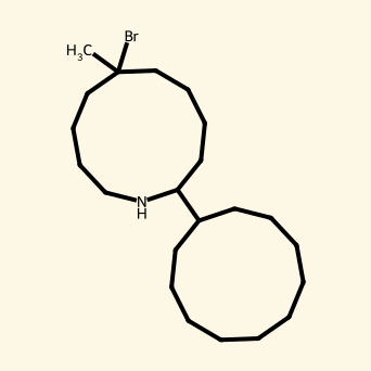 CC1(Br)CCCCNC(C2CCCCCCCCCC2)CCCC1